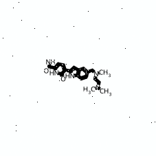 CN(C)CCN(C)Cc1ccc2[nH]c(-c3c[c]c(C(N)=O)[nH]c3=O)cc2c1